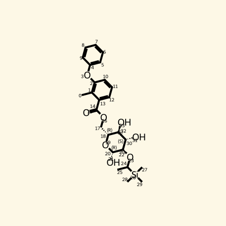 Cc1c(Oc2ccccc2)cccc1C(=O)OC[C@H]1O[C@@H](O)[C@H](OC(C)[Si](C)(C)C)[C@@H](O)[C@@H]1O